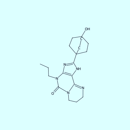 CCCN1C(=O)N2CCCN=C2c2[nH]c(C34CCC(O)(CC3)CC4)nc21